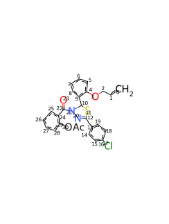 C=CCOc1ccccc1C1SC(c2ccc(Cl)cc2)=NN1C(=O)c1ccccc1OC(C)=O